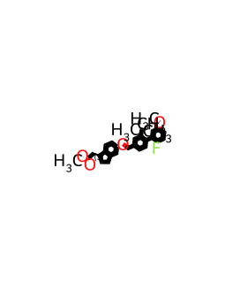 COC(=O)C[C@@H]1CCc2cc(OCc3ccc(-c4cc(OC)ccc4F)c(C(C)(C)C)c3)ccc21